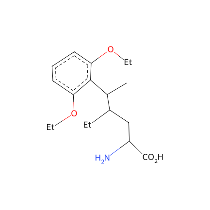 CCOc1cccc(OCC)c1C(C)C(CC)CC(N)C(=O)O